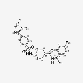 Cc1cnc(-c2ccc(S(=O)(=O)N[C@H]3CC[C@H](C(=O)N[C@H](C)c4ccc(F)cc4)CC3)cc2)n1C